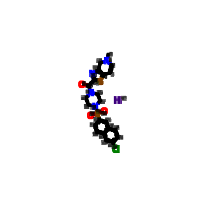 CN1C=Cc2sc(C(=O)N3CCN(S(=O)(=O)c4ccc5cc(Cl)ccc5c4)CC3)nc2C1.I